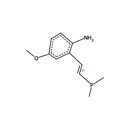 COc1ccc(N)c(/C=C/P(C)C)c1